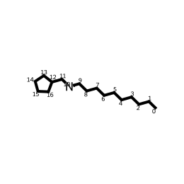 CCCCCCCCCC[N]CC1CCCC1